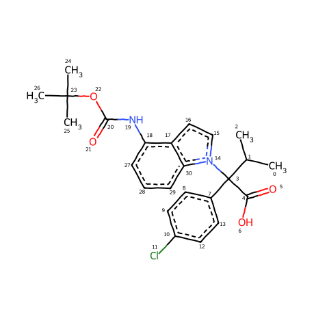 CC(C)C(C(=O)O)(c1ccc(Cl)cc1)n1ccc2c(NC(=O)OC(C)(C)C)cccc21